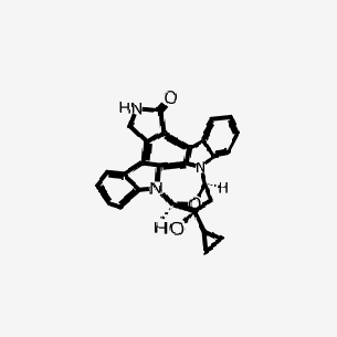 C[C@]12O[C@H](C[C@]1(O)C1CC1)n1c3ccccc3c3c4c(c5c6ccccc6n2c5c31)CNC4=O